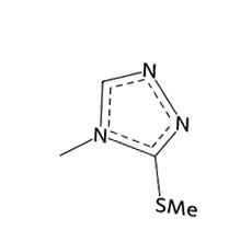 [CH2]Sc1nncn1C